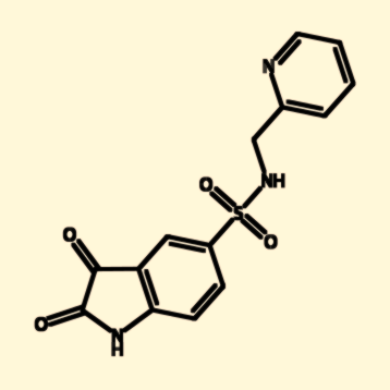 O=C1Nc2ccc(S(=O)(=O)NCc3ccccn3)cc2C1=O